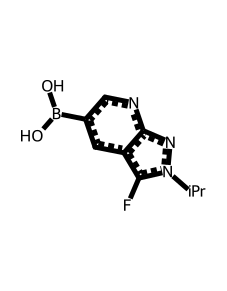 CC(C)n1nc2ncc(B(O)O)cc2c1F